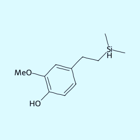 COc1cc(CC[SiH](C)C)ccc1O